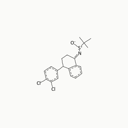 CC(C)(C)[S+]([O-])/N=C1\CCC(c2ccc(Cl)c(Cl)c2)c2ccccc21